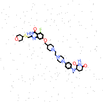 CN(c1ccc(N2CCN(CCN3CCC(COc4cc(F)c5c(=O)[nH]c(CSC6CCOCC6)nc5c4)CC3)CC2)cc1)C1CCC(=O)NC1=O